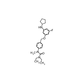 CCN(CC)C(=O)N(C)c1ccc(COc2cc(F)cc(NC3CCCC3)c2)cc1